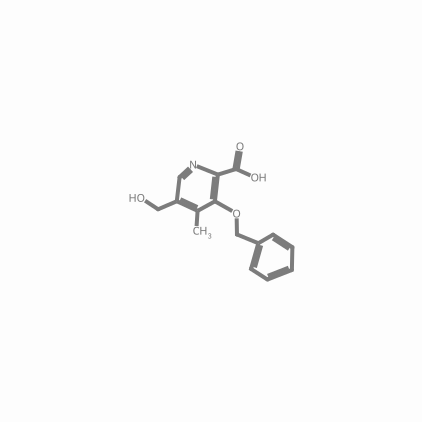 Cc1c(CO)cnc(C(=O)O)c1OCc1ccccc1